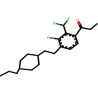 CCCC1CCC(CCc2ccc(C(=O)CC)c(C(F)F)c2F)CC1